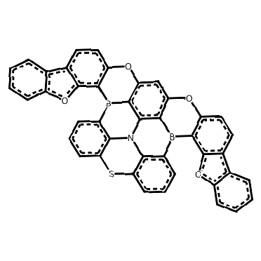 c1cc2c3c(c1)B1c4c(cc5c6c4N3c3c(cccc3B6c3c(ccc4c3oc3ccccc34)O5)S2)Oc2ccc3c(oc4ccccc43)c21